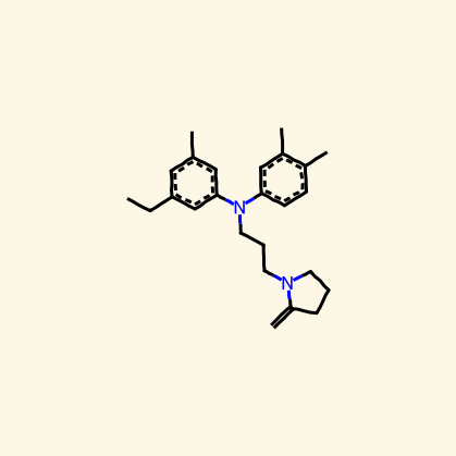 C=C1CCCN1CCCN(c1cc(C)cc(CC)c1)c1ccc(C)c(C)c1